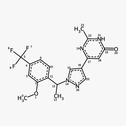 COc1cc(C(F)(F)F)ccc1C(C)n1cc(-c2cc(=O)[nH]c(C)n2)cn1